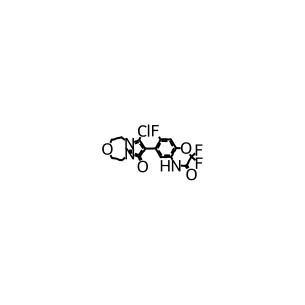 O=C1Nc2cc(-c3c(Cl)n4n(c3=O)CCOCC4)c(F)cc2OC1(F)F